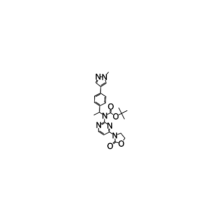 CC(c1ccc(-c2cnn(C)c2)cc1)N(C(=O)OC(C)(C)C)c1nccc(N2CCOC2=O)n1